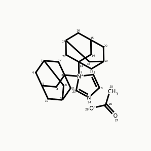 C1=C[N+](C23CC4CC(CC(C4)C2)C3)(C23CC4CC(CC(C4)C2)C3)C=N1.CC(=O)[O-]